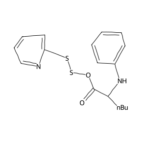 CCCCC(Nc1ccccc1)C(=O)OSSc1ccccn1